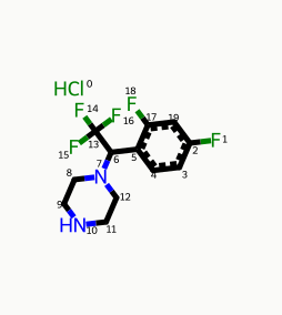 Cl.Fc1ccc(C(N2CCNCC2)C(F)(F)F)c(F)c1